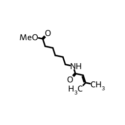 COC(=O)CCCCCNC(=O)C=C(C)C